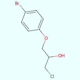 OC(CCl)COc1ccc(Br)cc1